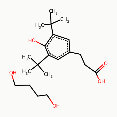 CC(C)(C)c1cc(CCC(=O)O)cc(C(C)(C)C)c1O.OCCCCO